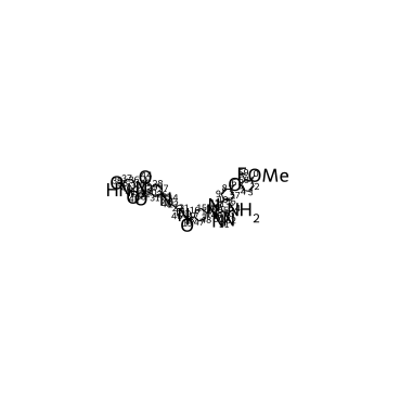 COc1cccc(Oc2ccc(-c3nn(C4CCC(C(=O)N5CC(C6CN(c7ccc8c(c7)C(=O)N(C7CCC(=O)NC7=O)C8=O)C6)C5)CC4)c4ncnc(N)c34)cc2)c1F